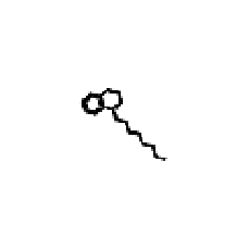 CCCCCCCC[C]1CC=Cc2ccccc21